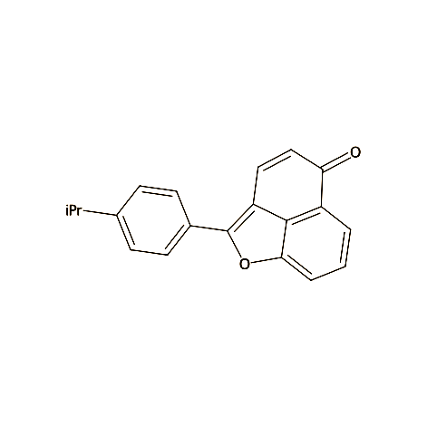 CC(C)c1ccc(-c2oc3cccc4c3c2C=CC4=O)cc1